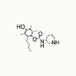 CCCCc1c(C)c(O)c(C)c(C)c1OC(=O)N[C@@H]1CCCNC1